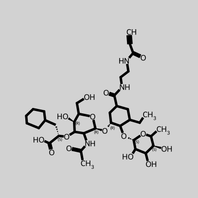 C#CC(=O)NCCNC(=O)C1CC(CC)C(O[C@@H]2OC(C)[C@@H](O)C(O)C2O)[C@H](O[C@@H]2OC(CO)[C@H](O)C(O[C@@H](CC3CCCCC3)C(=O)O)C2NC(C)=O)C1